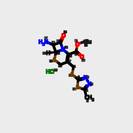 Cc1nnc(SCC2=C(C(=O)OC(C)(C)C)N3C(=O)C(N)[C@H]3SC2)s1.Cl